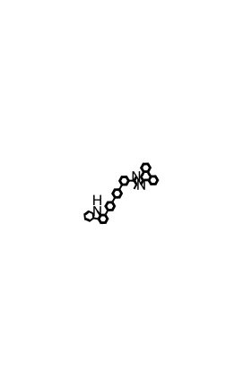 Cc1nc2c3ccccc3c3ccccc3c2nc1-c1cccc(-c2ccc(-c3ccc(-c4cccc5c4NC4C=CC=CC54)cc3)cc2)c1